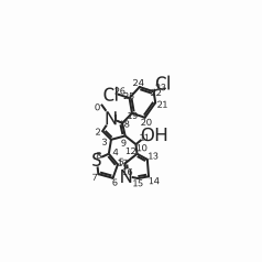 Cn1cc(-c2cccs2)c(C(O)c2cccnc2)c1-c1ccc(Cl)cc1Cl